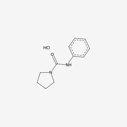 Cl.O=C(Nc1ccccc1)N1CCCC1